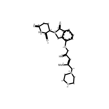 CN/C(=C\C(=N)COc1cccc2c1CN(C1CCC(=O)NC1=O)C2=O)CN1CCOCC1